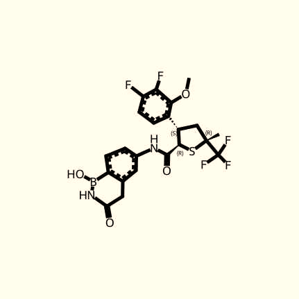 COc1c([C@@H]2C[C@](C)(C(F)(F)F)S[C@H]2C(=O)Nc2ccc3c(c2)CC(=O)NB3O)ccc(F)c1F